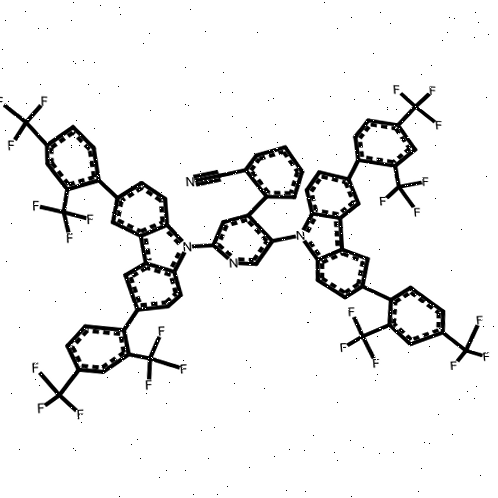 N#Cc1ccccc1-c1cc(-n2c3ccc(-c4ccc(C(F)(F)F)cc4C(F)(F)F)cc3c3cc(-c4ccc(C(F)(F)F)cc4C(F)(F)F)ccc32)ncc1-n1c2ccc(-c3ccc(C(F)(F)F)cc3C(F)(F)F)cc2c2cc(-c3ccc(C(F)(F)F)cc3C(F)(F)F)ccc21